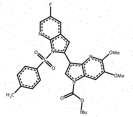 COc1cc2c(nc1OC)c(-c1cc3cc(F)cnc3n1S(=O)(=O)c1ccc(C)cc1)cn2C(=O)OC(C)(C)C